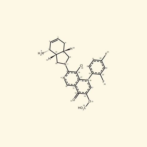 N[C@@H]1C=CC[C@@H]2CN(c3ncc4c(=O)c(OC(=O)O)cn(-c5ccc(F)cc5F)c4c3Cl)C[C@@H]21